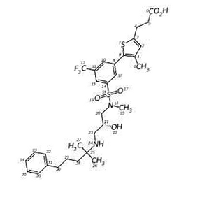 Cc1cc(CCC(=O)O)sc1-c1cc(C(F)(F)F)cc(S(=O)(=O)N(C)C[C@H](O)CNC(C)(C)CCCc2ccccc2)c1